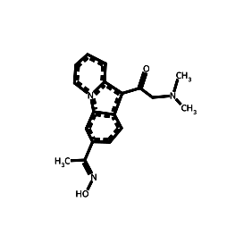 CC(=NO)c1ccc2c(C(=O)CN(C)C)c3ccccn3c2c1